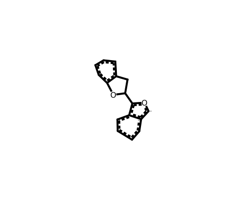 [c]1oc(C2Cc3ccccc3O2)c2ccccc12